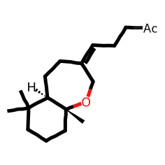 CC(=O)CCC=C1CC[C@@H]2C(C)(C)CCC[C@@]2(C)OC1